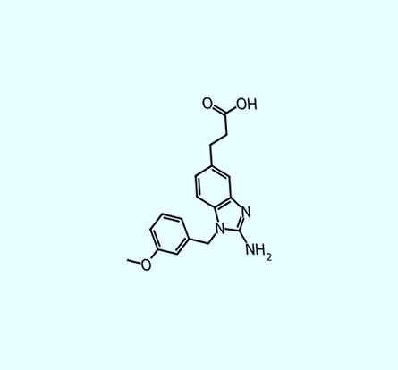 COc1cccc(Cn2c(N)nc3cc(CCC(=O)O)ccc32)c1